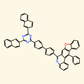 c1ccc(-c2c3c(cc4c(-c5ccc(-c6ccc(-c7nc(-c8ccc9ccccc9c8)nc(-c8ccc9ccccc9c8)n7)cc6)cc5)nc5ccccc5c24)oc2ccccc23)cc1